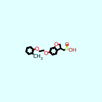 Cc1ccccc1OCCOc1ccc2c(c1)OCC2CS(=O)O